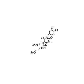 COCn1c(NCCCO)nc2c1c(=O)n(Cc1ccc(Cl)c(Cl)c1)c(=O)n2C